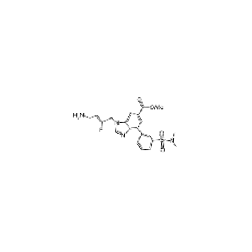 COC(=O)c1cc(-c2cccc(S(=O)(=O)N(C)C)c2)c2ncn(C/C(F)=C/CN)c2c1